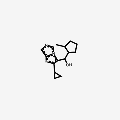 CC1CCCC1C(O)c1c(C2CC2)sc2cncn12